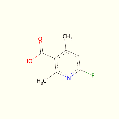 Cc1cc(F)nc(C)c1C(=O)O